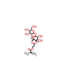 C=C(C)C(=O)OCCC1OC[C@H]2O[C@H](O[C@@H]3O[C@H](CO)[C@@H](O)[C@H](O)[C@H]3O)[C@H](O)[C@@H](O)[C@@H]2O1